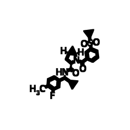 Cc1ccc([C@H](NC(=O)[C@H]2C[C@H]3C[C@H]3N2C(=O)c2cccc(S(=O)(=O)C3CC3)c2)C2CC2)cc1F